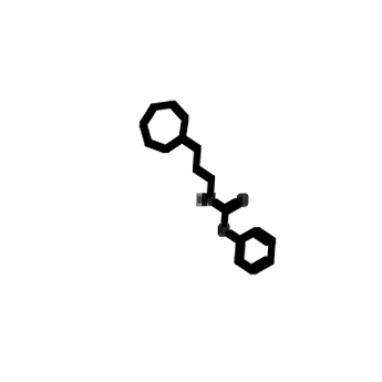 O=C(NCCCC1CCCCCC1)Oc1ccccc1